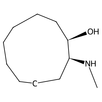 CN[C@H]1CCCCCCCC[C@H]1O